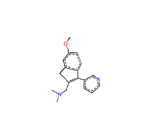 COc1ccc2c(c1)CC(CN(C)C)=C2c1cccnc1